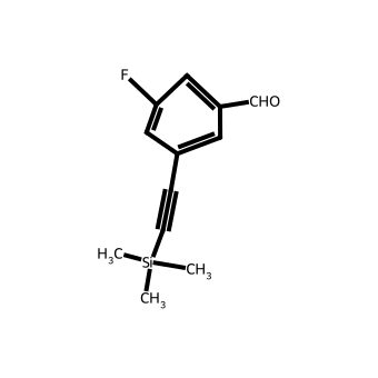 C[Si](C)(C)C#Cc1cc(F)cc(C=O)c1